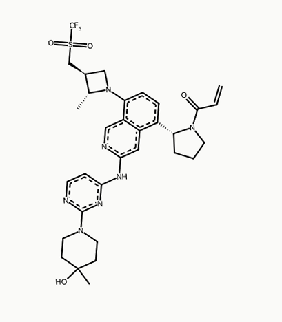 C=CC(=O)N1CCC[C@@H]1c1ccc(N2C[C@H](CS(=O)(=O)C(F)(F)F)[C@H]2C)c2cnc(Nc3ccnc(N4CCC(C)(O)CC4)n3)cc12